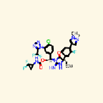 Cn1cc(-c2ccc([C@@]3(CC(C)(C)C)NC(=N)N([C@H](COC(=O)NC4CC4(F)F)c4ccc(Cl)c(-n5ncnc5C(F)F)c4)C3=O)cc2F)cn1